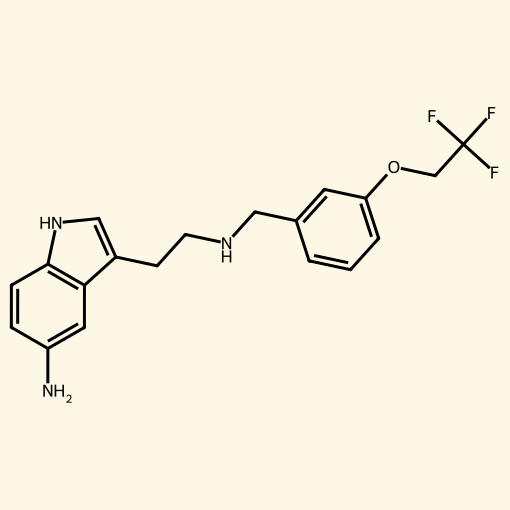 Nc1ccc2[nH]cc(CCNCc3cccc(OCC(F)(F)F)c3)c2c1